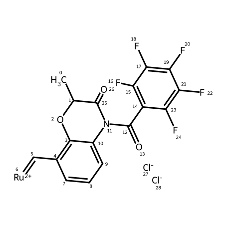 CC1Oc2c([CH]=[Ru+2])cccc2N(C(=O)c2c(F)c(F)c(F)c(F)c2F)C1=O.[Cl-].[Cl-]